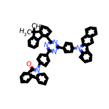 CC1(C)c2ccccc2-c2c(-c3nc(-c4ccc(-n5c(=O)c6ccccc6c6ccccc65)cc4)nc(-c4ccc(-n5c6ccccc6c6cc7ccccc7cc65)cc4)n3)cccc21